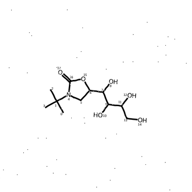 CC(C)(C)N1CC(C(O)C(O)C(O)CO)OC1=O